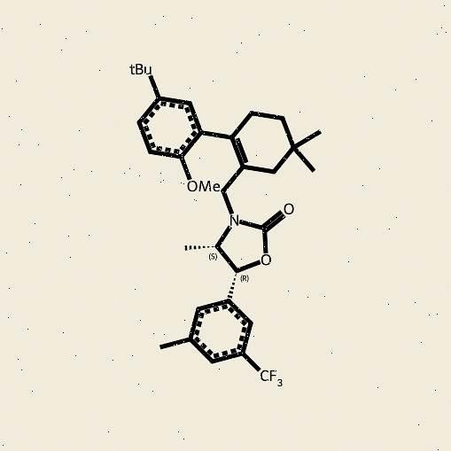 COc1ccc(C(C)(C)C)cc1C1=C(CN2C(=O)O[C@H](c3cc(C)cc(C(F)(F)F)c3)[C@@H]2C)CC(C)(C)CC1